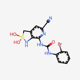 N#Cc1cc2c(c(NC(=O)Nc3ccccc3Br)n1)NS(O)(O)C2